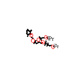 Cc1cccc(C)c1OCCOC(C)(C)CC(COC(C)(C)C(C)(C)CCOC(C)C)OC(C)(C)CCOC(C)C